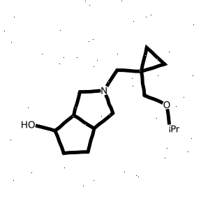 CC(C)OCC1(CN2CC3CCC(O)C3C2)CC1